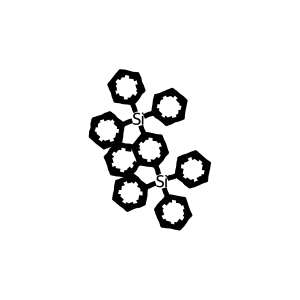 c1ccc([Si](c2ccccc2)(c2ccccc2)c2ccc([Si](c3ccccc3)(c3ccccc3)c3ccccc3)c3ccccc23)cc1